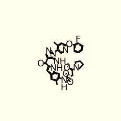 Cc1cc2cc(C(=O)c3cnn(-c4cnc(Oc5ccccc5F)cc4C)c3N)[nH]c2cc1NS(=O)(=O)CC(=O)N1CCCC1